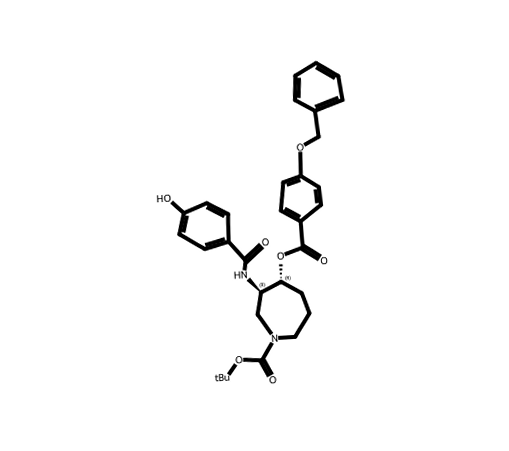 CC(C)(C)OC(=O)N1CCC[C@@H](OC(=O)c2ccc(OCc3ccccc3)cc2)[C@H](NC(=O)c2ccc(O)cc2)C1